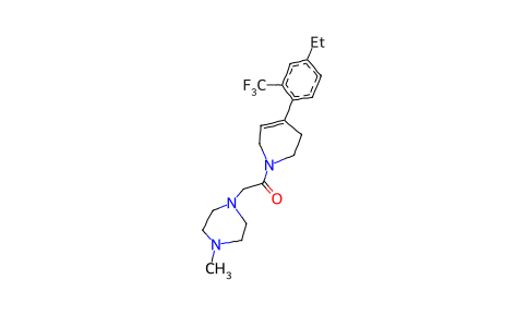 CCc1ccc(C2=CCN(C(=O)CN3CCN(C)CC3)CC2)c(C(F)(F)F)c1